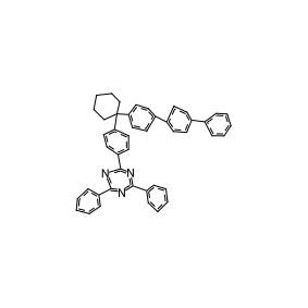 c1ccc(-c2ccc(-c3ccc(C4(c5ccc(-c6nc(-c7ccccc7)nc(-c7ccccc7)n6)cc5)CCCCC4)cc3)cc2)cc1